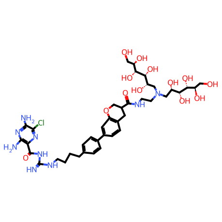 N=C(NCCCCc1ccc(-c2ccc3c(c2)OCC(C(=O)NCCN(C[C@H](O)[C@@H](O)[C@H](O)[C@H](O)CO)C[C@H](O)[C@@H](O)[C@H](O)[C@H](O)CO)C3)cc1)NC(=O)c1nc(Cl)c(N)nc1N